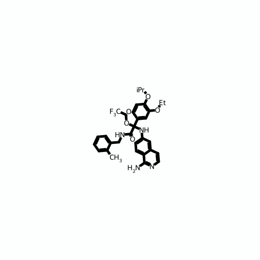 CCOc1cc(C(Nc2ccc3c(N)nccc3c2)(OC(=O)C(F)(F)F)C(=O)NCc2ccccc2C)ccc1OC(C)C